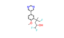 COc1ccc(-c2cncnc2)cc1C(C)(CF)CC(O)C(F)F